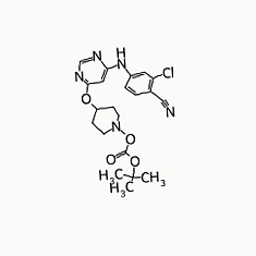 CC(C)(C)OC(=O)ON1CCC(Oc2cc(Nc3ccc(C#N)c(Cl)c3)ncn2)CC1